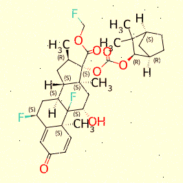 C[C@@H]1C[C@H]2[C@@H]3C[C@H](F)C4=CC(=O)C=C[C@]4(C)C3(F)[C@@H](O)C[C@]2(C)[C@]1(OC(=O)O[C@@H]1[C@@H]2CC[C@@H](C2)C1(C)C)C(=O)OCF